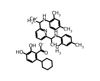 Cc1ccc(NC(C)c2cccc(C(C)Nc3ccc(C)cc3C)n2)c(C)c1.O=C([O-])c1c(C2CCCCC2)ccc(O)c1O.[Co+]